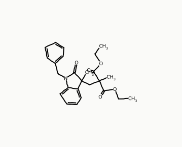 CCOC(=O)C(C)(CC1(C)C(=O)N(Cc2ccccc2)c2ccccc21)C(=O)OCC